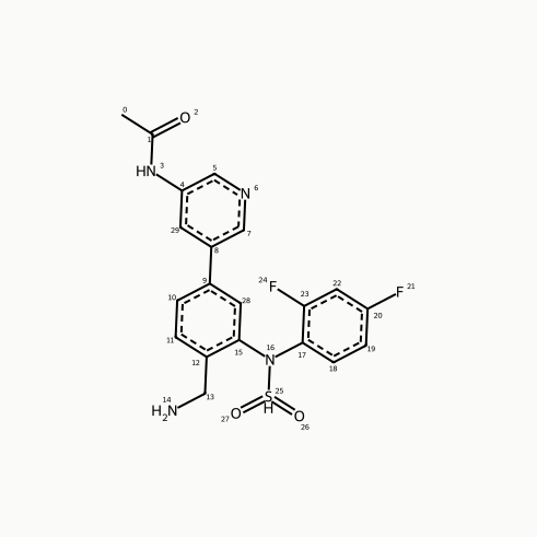 CC(=O)Nc1cncc(-c2ccc(CN)c(N(c3ccc(F)cc3F)[SH](=O)=O)c2)c1